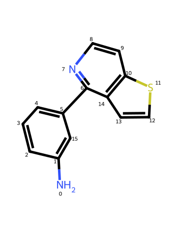 Nc1cccc(-c2nccc3sccc23)c1